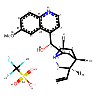 C=C[C@H]1C[N@]2CC[C@H]1C[C@H]2[C@H](O)c1ccnc2ccc(OC)cc12.O=S(=O)(O)C(F)(F)F